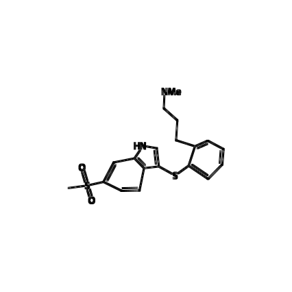 CNCCCc1ccccc1Sc1c[nH]c2cc(S(C)(=O)=O)ccc12